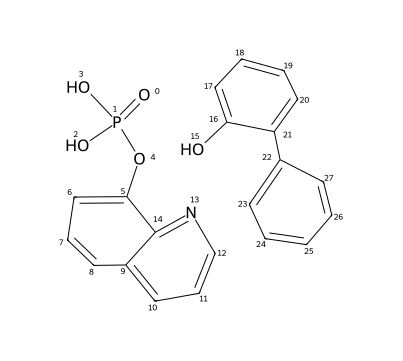 O=P(O)(O)Oc1cccc2cccnc12.Oc1ccccc1-c1ccccc1